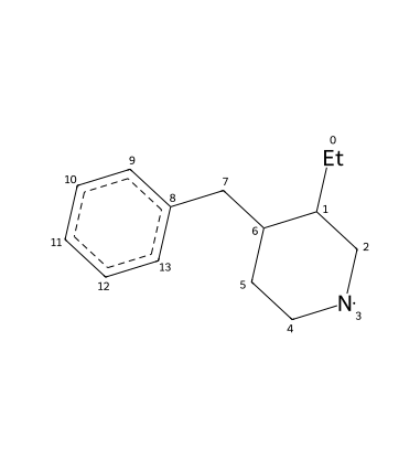 CCC1C[N]CCC1Cc1ccccc1